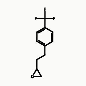 FC(F)(F)c1ccc(CCC2CO2)cc1